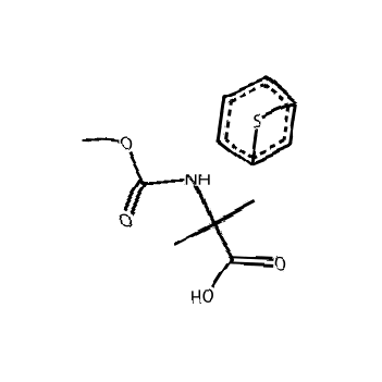 COC(=O)NC(C)(C)C(=O)O.c1cc2cc(c1)S2